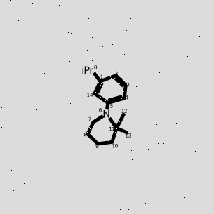 CC(C)c1cccc(N2CCCCC2(C)C)c1